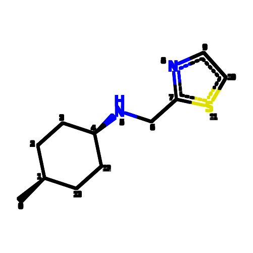 C[C@H]1CC[C@@H](NCc2nccs2)CC1